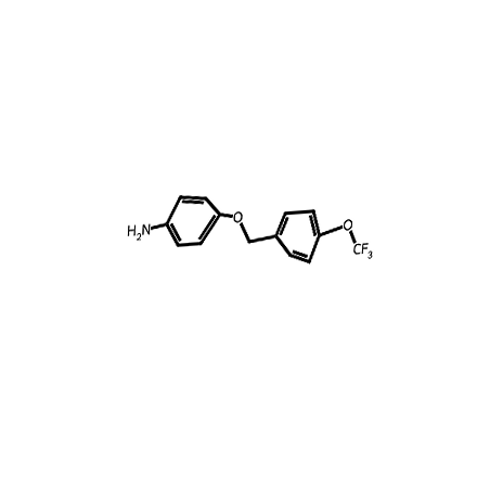 Nc1ccc(OCc2ccc(OC(F)(F)F)cc2)cc1